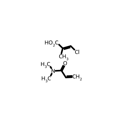 C=CC(=O)N(C)C.CC(=CCl)C(=O)O